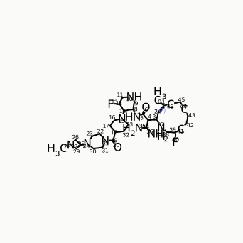 C/C1=C/C(C(C(=O)NC2CNCC(F)C2N2CCC(C(=O)N3CCN(C4CN(C)C4)CC3)CC2)C(N)N)NCC(F)CCCCCC1